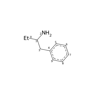 CC[C](N)Cc1ccccc1